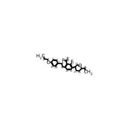 C=CCOc1ccc(CCc2ccc(C3CCC(C=C)OC3)c(F)c2C(F)F)cc1